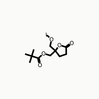 CC(C)(C)C(=O)OCC1(COI)CCC(=O)O1